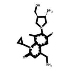 Cc1c(N2C[C@@H](CO)[C@H](N)C2)c(F)cc2c(CN)cc(=O)n(C3CC3)c12